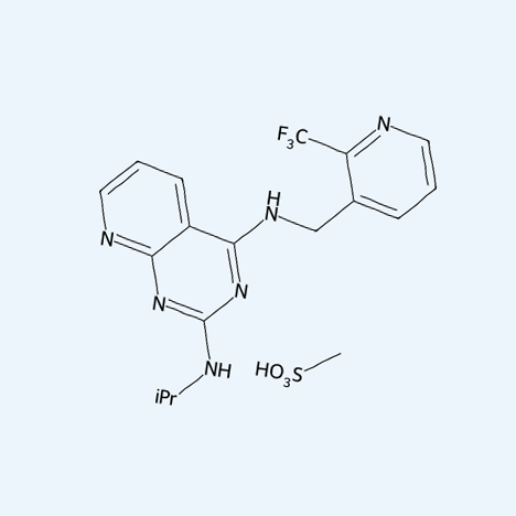 CC(C)Nc1nc(NCc2cccnc2C(F)(F)F)c2cccnc2n1.CS(=O)(=O)O